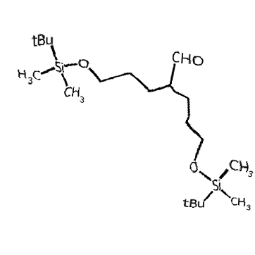 CC(C)(C)[Si](C)(C)OCCCC(C=O)CCCO[Si](C)(C)C(C)(C)C